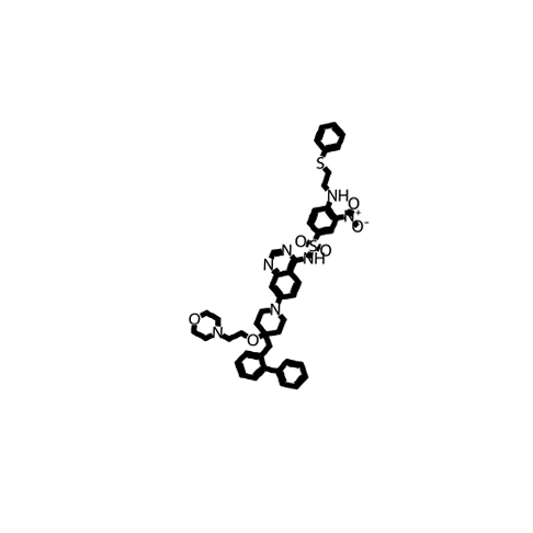 O=[N+]([O-])c1cc(S(=O)(=O)Nc2ncnc3cc(N4CCC(Cc5ccccc5-c5ccccc5)(OCCN5CCOCC5)CC4)ccc23)ccc1NCCSc1ccccc1